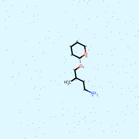 CC(CCN)CO[C@@H]1CCCCO1